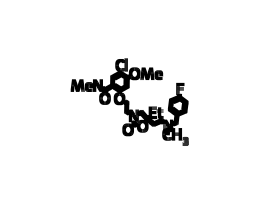 CCC1(CCN(C)Cc2ccc(F)cc2)CN(CCOc2cc(OC)c(Cl)cc2C(=O)NC)C(=O)O1